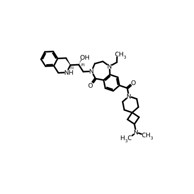 CCN1CCN(C[C@@H](O)[C@@H]2Cc3ccccc3CN2)C(=O)c2ccc(C(=O)N3CCC4(CC3)CC(N(C)C)C4)cc21